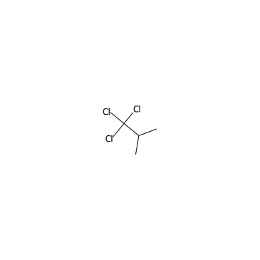 CC(C)C(Cl)(Cl)Cl